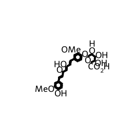 COc1cc(/C=C/C(=O)/C=C(O)/C=C/c2ccc(OC3O[C@H](C(=O)O)[C@@H](O)[C@H](O)[C@H]3O)c(OC)c2)ccc1O